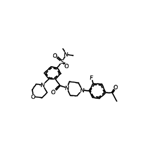 CC(=O)c1ccc(N2CCN(C(=O)c3cc(S(=O)(=O)N(C)C)ccc3N3CCOCC3)CC2)c(F)c1